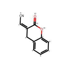 N#CC=C1Cc2ccccc2OC1=O